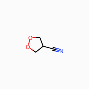 N#CC1COOC1